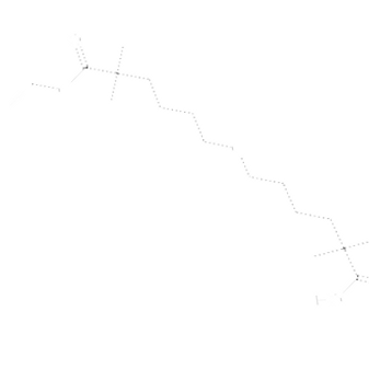 CCOC(=O)C(C)(C)CCCCOCCCCC(C)(C)C(=O)O